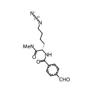 CNC(=O)[C@H](CCCCN=[N+]=[N-])NC(=O)c1ccc(C=O)cc1